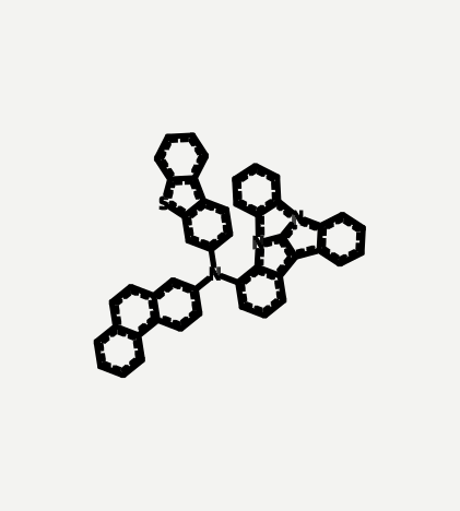 c1ccc2c(c1)ccc1cc(N(c3ccc4c(c3)sc3ccccc34)c3cccc4c5c6ccccc6n6c7ccccc7n(c34)c56)ccc12